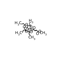 CCCC(=O)O[C@H]1[C@@H](OC(=O)CCC)[C@@H](C)O[C@@H](OC(=O)/C=C/C(=O)OC)[C@@H]1OC(=O)CCC